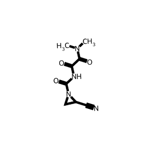 CN(C)C(=O)C(=O)NC(=O)N1CC1C#N